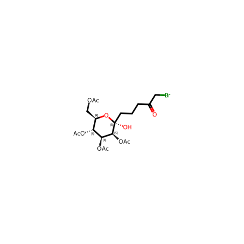 CC(=O)OC[C@H]1O[C@@](O)(CCCC(=O)CBr)[C@@H](OC(C)=O)[C@@H](OC(C)=O)[C@@H]1OC(C)=O